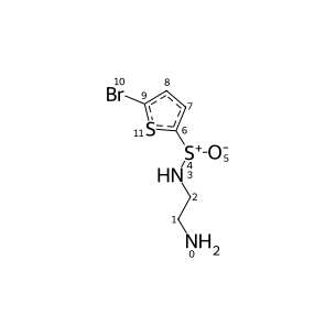 NCCN[S+]([O-])c1ccc(Br)s1